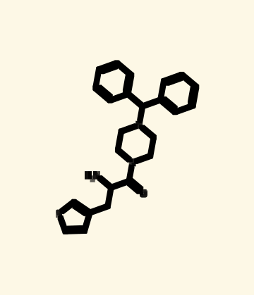 NC(Cc1ccsc1)C(=O)N1CCN(C(c2ccccc2)c2ccccc2)CC1